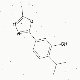 Cc1nnc(-c2ccc(C(C)C)c(O)c2)o1